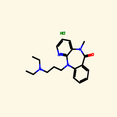 CCN(CC)CCCN1c2ccccc2C(=O)N(C)c2cccnc21.Cl